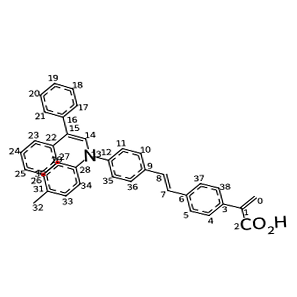 C=C(C(=O)O)c1ccc(C=Cc2ccc(N(C=C(c3ccccc3)c3ccccc3)c3ccc(C)cc3)cc2)cc1